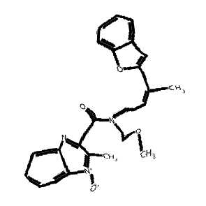 COCN(CC=C(C)c1cc2ccccc2o1)C(=O)c1nc2ccccc2[n+]([O-])c1C